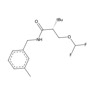 Cc1cccc(CNC(=O)[C@@H](COC(F)F)C(C)(C)C)c1